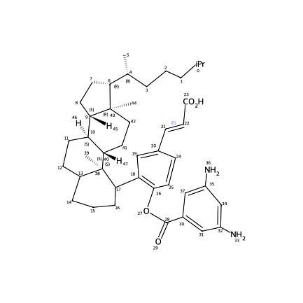 CC(C)CCC[C@@H](C)[C@H]1CC[C@H]2[C@@H]3CCC4CCCC(c5cc(/C=C/C(=O)O)ccc5OC(=O)c5cc(N)cc(N)c5)[C@]4(C)[C@H]3CC[C@]12C